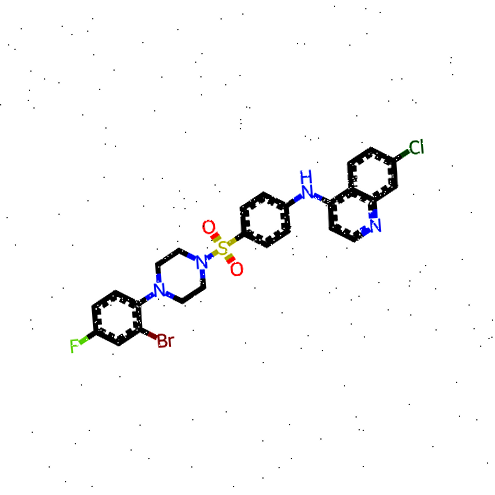 O=S(=O)(c1ccc(Nc2ccnc3cc(Cl)ccc23)cc1)N1CCN(c2ccc(F)cc2Br)CC1